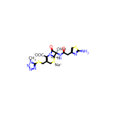 CO[C@@]1(NC(=O)Cc2csc(N)n2)C(=O)N2C(C(=O)[O-])=C(CSc3nnnn3C)CS[C@@H]21.[Na+]